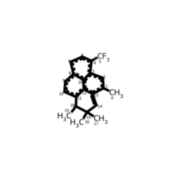 Cc1cc2c(C(F)(F)F)ccc3ccc4c(c1=CC(C)(C)C4C)c32